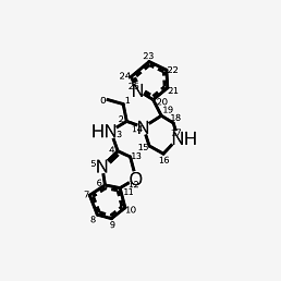 CCC(NC1=Nc2ccccc2OC1)N1CCNCC1c1ccccn1